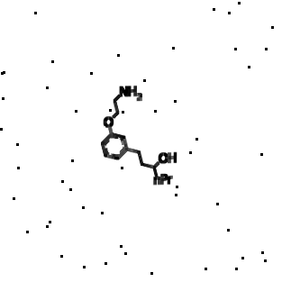 CCCC(O)CCc1cccc(OCCN)c1